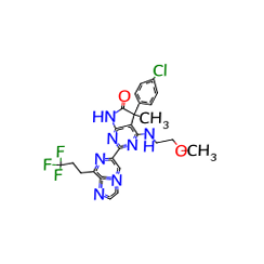 COCCNc1nc(-c2cn3ccnc3c(CCC(F)(F)F)n2)nc2c1C(C)(c1ccc(Cl)cc1)C(=O)N2